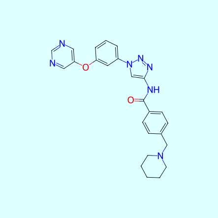 O=C(Nc1cn(-c2cccc(Oc3cncnc3)c2)nn1)c1ccc(CN2CCCCC2)cc1